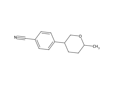 CC1CCC(c2ccc(C#N)cc2)CO1